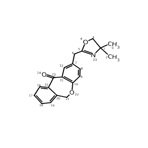 CC1(C)COC(Cc2ccc3c(c2)C(=O)c2ccccc2CO3)=N1